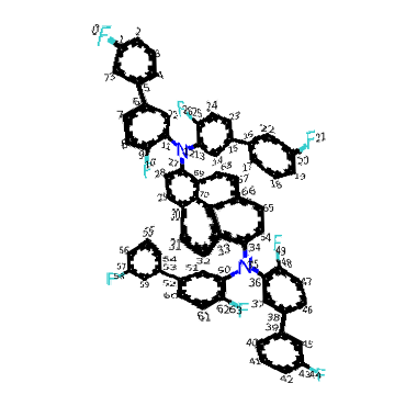 Fc1cccc(-c2ccc(F)c(N(c3cc(-c4cccc(F)c4)ccc3F)c3ccc4ccc5c(N(c6cc(-c7cccc(F)c7)ccc6F)c6cc(-c7cccc(F)c7)ccc6F)ccc6ccc3c4c65)c2)c1